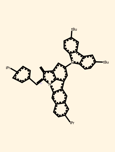 C=c1/c(=C\c2ccc(C(C)C)cc2)n2c3cc4ccc(C(C)C)cc4cc3c3cc(-n4c5ccc(C(C)(C)C)cc5c5cc(C(C)(C)C)ccc54)cc1c32